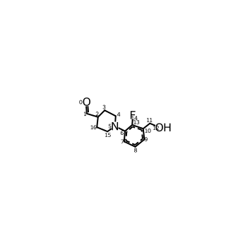 O=CC1CCN(c2cccc(CO)c2F)CC1